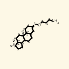 C[C@@H]1CCC2C3CCC4CC(=NOCCCN)CC[C@]4(C)C3CC[C@@]21C